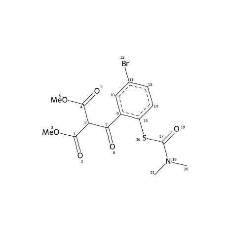 COC(=O)C(C(=O)OC)C(=O)c1cc(Br)ccc1SC(=O)N(C)C